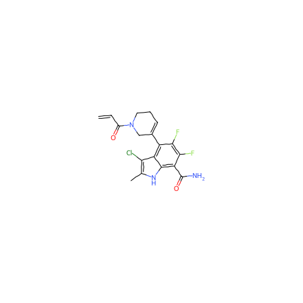 C=CC(=O)N1CCC=C(c2c(F)c(F)c(C(N)=O)c3[nH]c(C)c(Cl)c23)C1